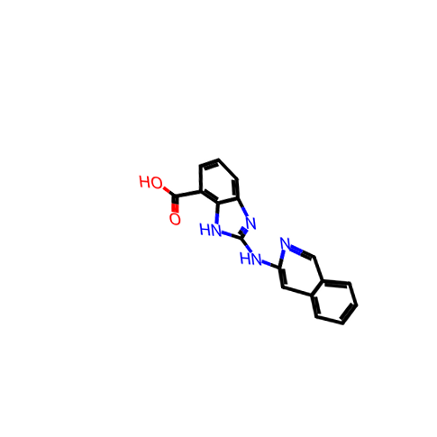 O=C(O)c1cccc2nc(Nc3cc4ccccc4cn3)[nH]c12